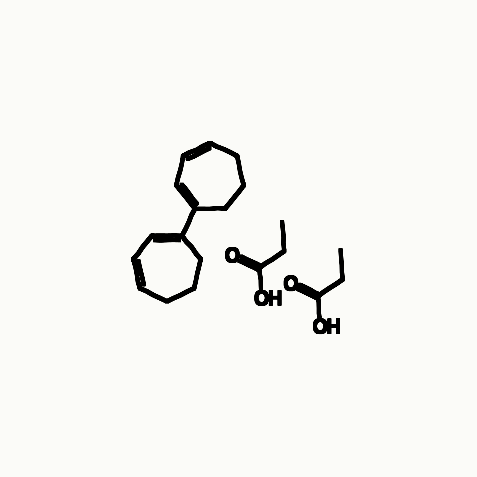 C1=CCCCC(C2=CC=CCCC2)=C1.CCC(=O)O.CCC(=O)O